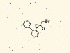 CC(C)CC(=O)Oc1ccccc1-c1ccccc1